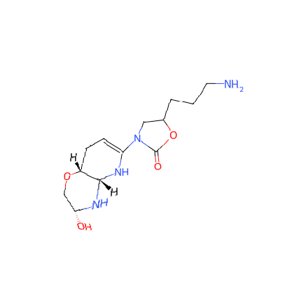 NCCCC1CN(C2=CC[C@H]3OC[C@@H](O)N[C@H]3N2)C(=O)O1